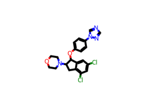 Clc1cc(Cl)c2c(c1)C(Oc1ccc(-n3cncn3)cc1)C(N1CCOCC1)C2